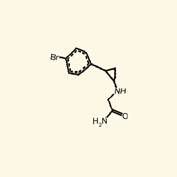 NC(=O)CNC1CC1c1ccc(Br)cc1